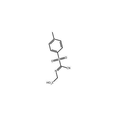 Cc1ccc(S(=O)(=O)C(C#N)=NCS(=O)(=O)O)cc1